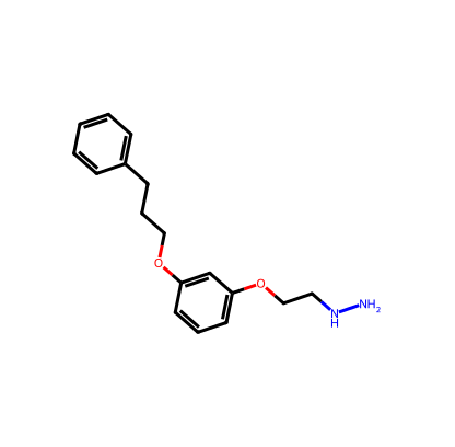 NNCCOc1cccc(OCCCc2ccccc2)c1